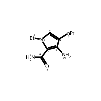 CCCc1cn(CC)c(C(N)=O)c1N